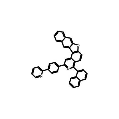 c1ccc(-c2ccc(-c3cc4c(ccc5oc6cc7ccccc7cc6c54)c(-c4cccc5ccccc45)n3)cc2)nc1